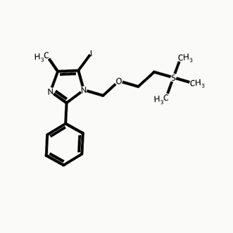 Cc1nc(-c2ccccc2)n(COCCS(C)(C)C)c1I